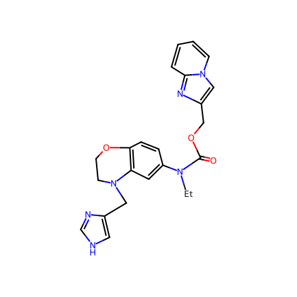 CCN(C(=O)OCc1cn2ccccc2n1)c1ccc2c(c1)N(Cc1c[nH]cn1)CCO2